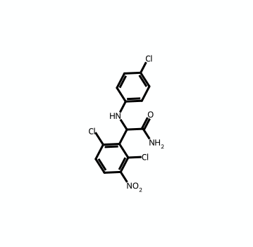 NC(=O)C(Nc1ccc(Cl)cc1)c1c(Cl)ccc([N+](=O)[O-])c1Cl